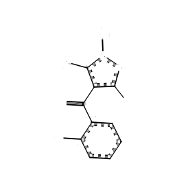 Cc1nn(C)c(N)c1C(=O)c1ccccc1F